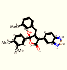 COc1cccc(CC2=C(c3ccc4nsnc4c3)C(=O)OC2(O)c2ccc(OC)c(OC)c2)c1